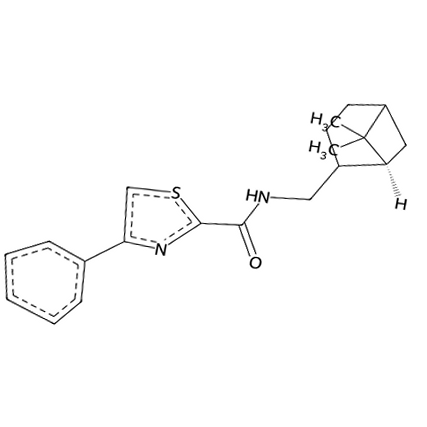 CC1(C)C2CCC(CNC(=O)c3nc(-c4ccccc4)cs3)[C@@H]1C2